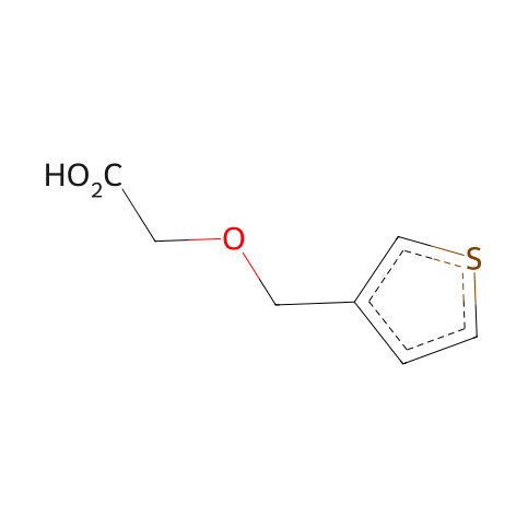 O=C(O)COCc1ccsc1